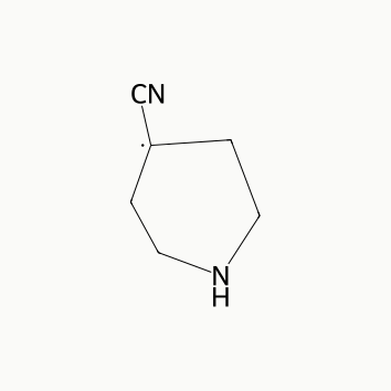 N#C[C]1CCNCC1